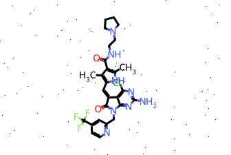 Cc1[nH]c(/C=C2/C(=O)N(Cc3cc(C(F)(F)F)ccn3)c3nc(N)nc(Cl)c32)c(C)c1C(=O)NCCN1CCCC1